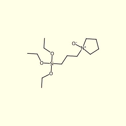 CCO[Si](CCC[N+]1([O-])CCCC1)(OCC)OCC